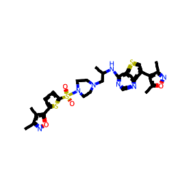 Cc1noc(-c2ccc(S(=O)(=O)N3CCN(CC(C)Nc4ncnc5c(-c6c(C)noc6C)csc45)CC3)s2)c1C